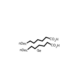 CCCCCCCCCCCCCCCC(=O)O.CCCCCCCCCCCCCCCC(=O)O.[Se]